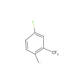 [CH2]c1ccc(F)cc1C(F)(F)F